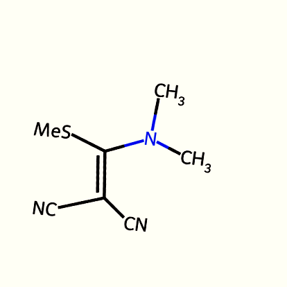 CSC(=C(C#N)C#N)N(C)C